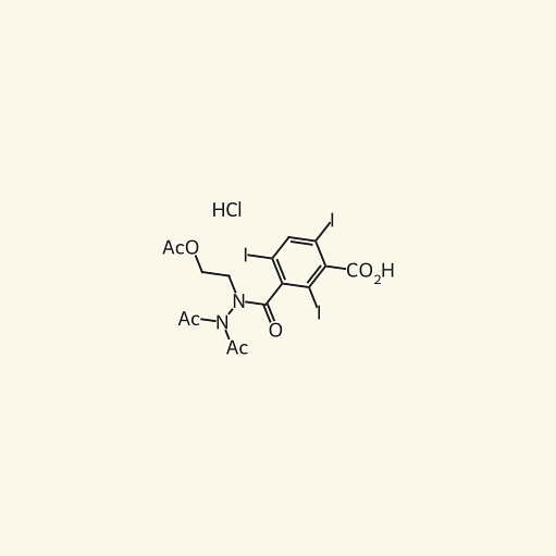 CC(=O)OCCN(C(=O)c1c(I)cc(I)c(C(=O)O)c1I)N(C(C)=O)C(C)=O.Cl